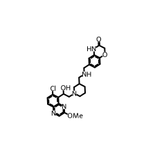 COc1cnc2ccc(Cl)c(C(O)CN3CCCC(CNCc4ccc5c(c4)NC(=O)CO5)C3)c2n1